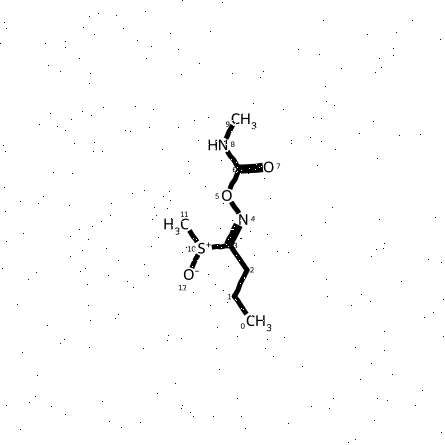 CCCC(=NOC(=O)NC)[S+](C)[O-]